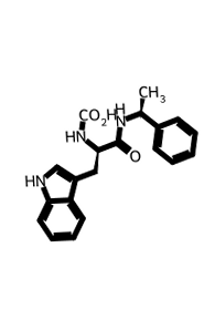 C[C@H](NC(=O)[C@@H](Cc1c[nH]c2ccccc12)NC(=O)O)c1ccccc1